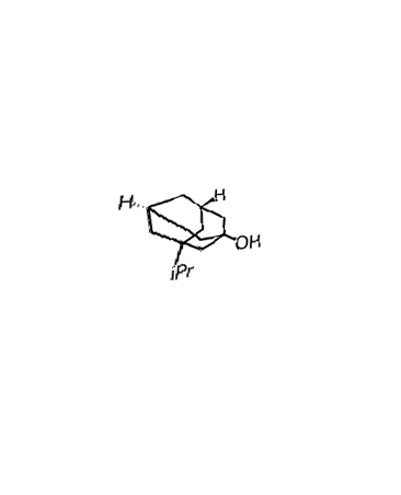 CC(C)C12C[C@@H]3C[C@@H](CC(O)(C3)C1)C2